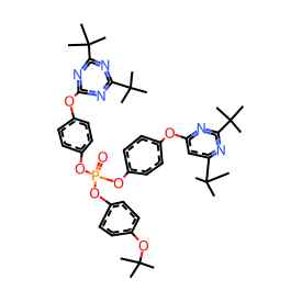 CC(C)(C)Oc1ccc(OP(=O)(Oc2ccc(Oc3cc(C(C)(C)C)nc(C(C)(C)C)n3)cc2)Oc2ccc(Oc3nc(C(C)(C)C)nc(C(C)(C)C)n3)cc2)cc1